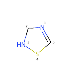 C1=NCNS1